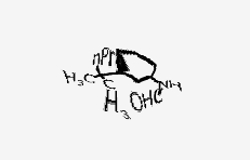 CCCC(C)(C)c1cccc(NC=O)c1